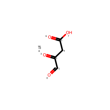 O=CC(=O)CC(=O)O.[Ti]